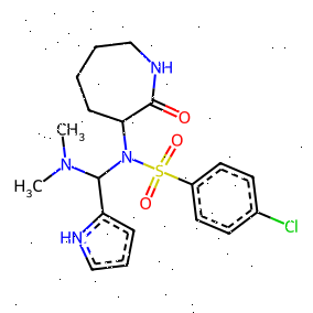 CN(C)C(c1ccc[nH]1)N(C1CCCCNC1=O)S(=O)(=O)c1ccc(Cl)cc1